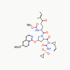 C=CC1CC1N(C(=O)NS(=O)(=O)C1CC1)C(=O)C1CC(Oc2nccc3cc(OC)ccc23)CN1C(=O)C(CCC(=O)/C(C)=C/C)NC(=O)OC(C)(C)C